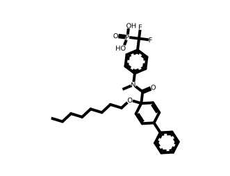 CCCCCCCCOC1(C(=O)N(C)c2ccc(C(F)(F)P(=O)(O)O)cc2)C=CC(c2ccccc2)C=C1